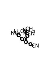 Cc1nc(C)nc(-c2cc(-n3c4cc(-c5ccc(C#N)cc5)ccc4c4ccc(-c5ccc(C#N)cc5)cc43)ccc2C#N)n1